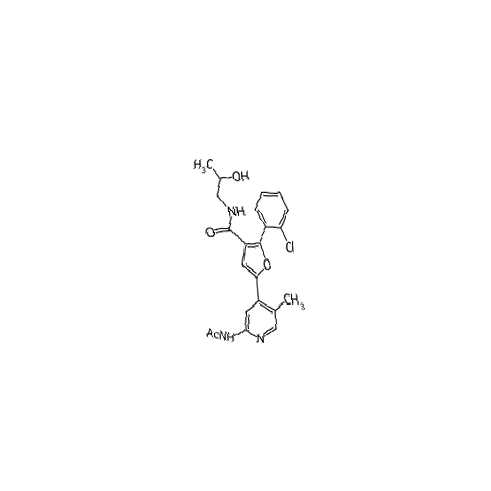 CC(=O)Nc1cc(-c2cc(C(=O)NCC(C)O)c(-c3ccccc3Cl)o2)c(C)cn1